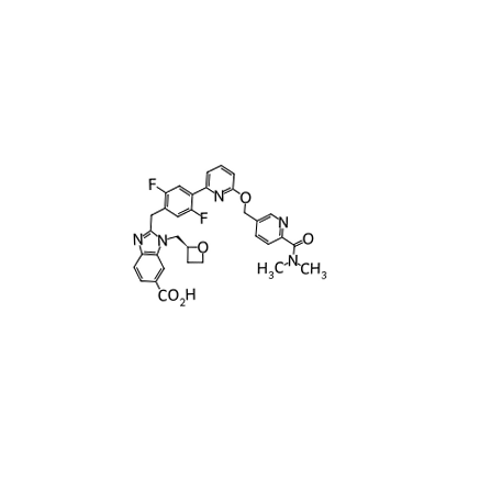 CN(C)C(=O)c1ccc(COc2cccc(-c3cc(F)c(Cc4nc5ccc(C(=O)O)cc5n4C[C@@H]4CCO4)cc3F)n2)cn1